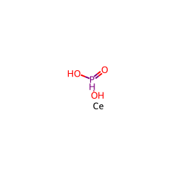 O=[PH](O)O.[Ce]